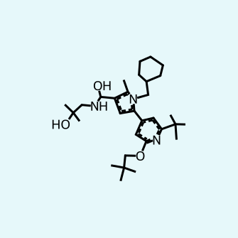 Cc1c(C(O)NCC(C)(C)O)cc(-c2cc(OCC(C)(C)C)nc(C(C)(C)C)c2)n1CC1CCCCC1